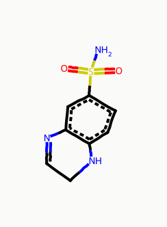 NS(=O)(=O)c1ccc2c(c1)N=CCN2